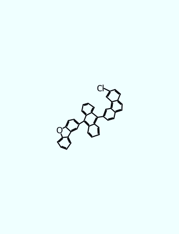 Clc1ccc2ccc3ccc(-c4c5ccccc5c(-c5ccc6oc7ccccc7c6c5)c5ccccc45)cc3c2c1